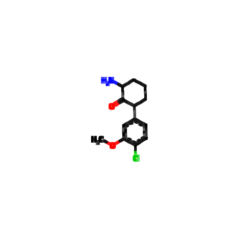 COc1cc(C2CCCC(N)C2=O)ccc1Cl